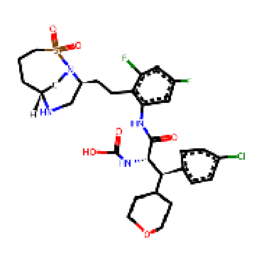 O=C(O)N[C@H](C(=O)Nc1cc(F)cc(F)c1CC[C@H]1CN[C@@H]2CCCS(=O)(=O)N1C2)[C@@H](c1ccc(Cl)cc1)C1CCOCC1